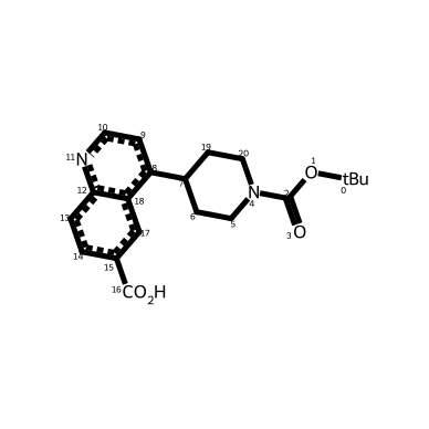 CC(C)(C)OC(=O)N1CCC(c2ccnc3ccc(C(=O)O)cc23)CC1